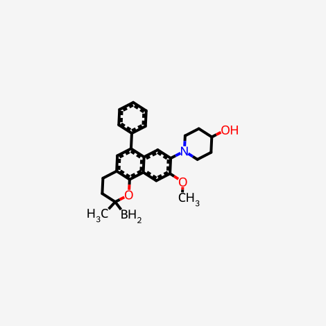 BC1(C)CCc2cc(-c3ccccc3)c3cc(N4CCC(O)CC4)c(OC)cc3c2O1